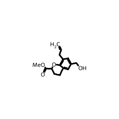 C=CCc1cc(CO)cc2c1OC(C(=O)OC)CC2